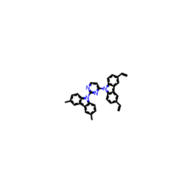 C=Cc1ccc2c(c1)c1cc(C=C)ccc1n2-c1ccnc(-n2c3ccc(C)cc3c3cc(C)ccc32)n1